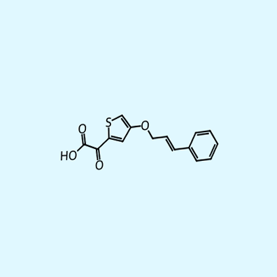 O=C(O)C(=O)c1cc(OC/C=C/c2ccccc2)cs1